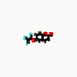 O=c1ccc2cc(OC(F)=C(F)F)ccc2o1